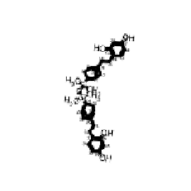 C[Si](C)(O[Si](C)(C)C1CC2CC1CC2CCc1ccc(O)cc1O)C1CC2CC1CC2CCc1ccc(O)cc1O